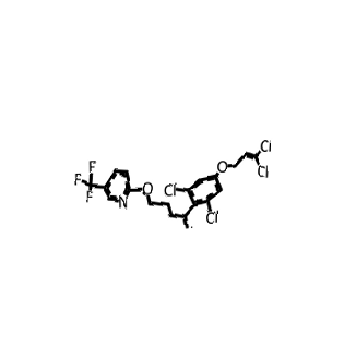 [CH2]C(CCCOc1ccc(C(F)(F)F)cn1)c1c(Cl)cc(OCC=C(Cl)Cl)cc1Cl